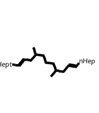 CCCCCCCC=CCC(C)CCCC(C)CC=CCCCCCCC